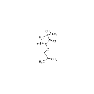 CC(C)COC(=O)C(=O)C(C)(C)C.[Cu]